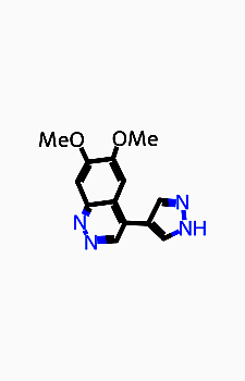 COc1cc2nncc(-c3cn[nH]c3)c2cc1OC